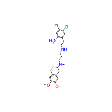 COc1cc2c(cc1OC)CC(N(C)CCCNCCc1cc(Cl)c(Cl)cc1N)CC2